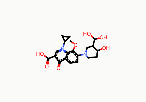 COc1c(N2CCC(O)C(C(O)O)C2)ccc2c(=O)c(C(=O)O)cn(C3CC3)c12